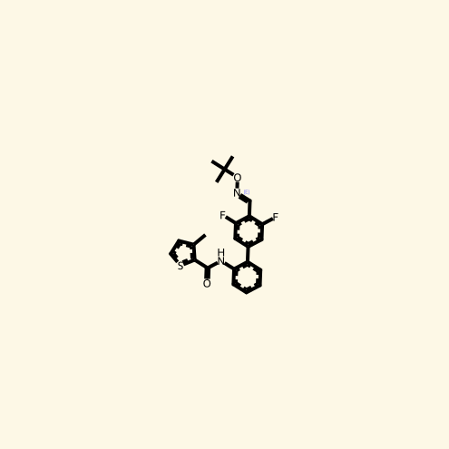 Cc1ccsc1C(=O)Nc1ccccc1-c1cc(F)c(/C=N/OC(C)(C)C)c(F)c1